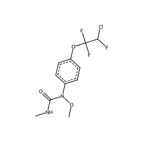 CNC(=O)N(OC)c1ccc(OC(F)(F)C(F)Cl)cc1